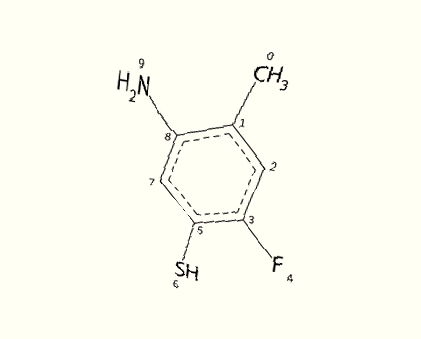 Cc1cc(F)c(S)cc1N